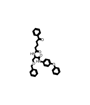 O=C(CCCC(=O)c1ccccc1)NC(COCc1ccccc1)C(=O)Nc1ccc(Oc2ccccc2)cc1